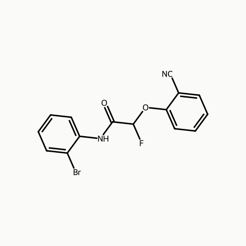 N#Cc1ccccc1OC(F)C(=O)Nc1ccccc1Br